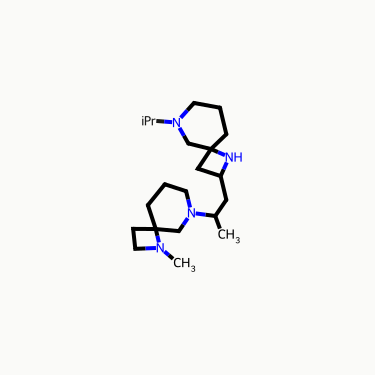 CC(C)N1CCCC2(CC(CC(C)N3CCCC4(CCN4C)C3)N2)C1